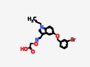 C=CCn1cc(/C=N/OCC(=O)O)c2cc(OCc3cccc(Br)c3)ccc21